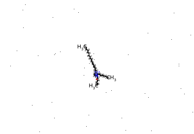 CCCCCCCCCCCCCCCCCC[n+]1ccn(CCCCCC)c1CCCCCCC